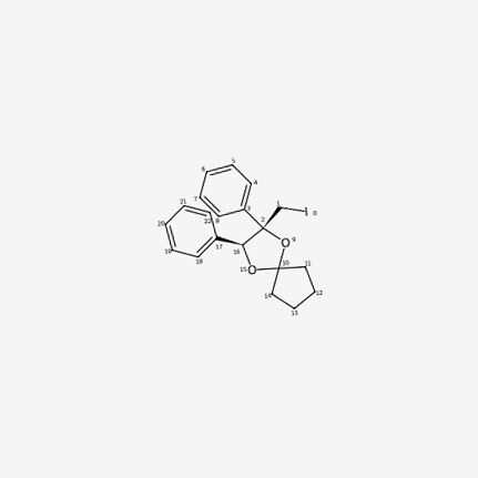 IC[C@@]1(c2ccccc2)OC2(CCCC2)O[C@H]1c1ccccc1